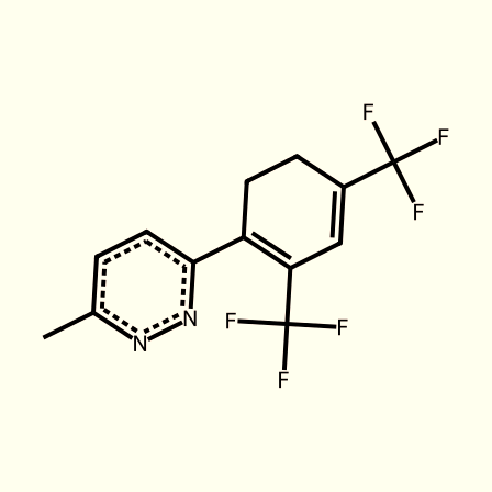 Cc1ccc(C2=C(C(F)(F)F)C=C(C(F)(F)F)CC2)nn1